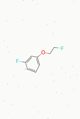 FCCOc1cc[c]c(F)c1